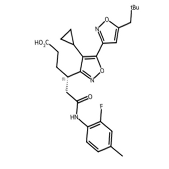 Cc1ccc(NC(=O)C[C@H](CCC(=O)O)c2noc(-c3cc(CC(C)(C)C)on3)c2C2CC2)c(F)c1